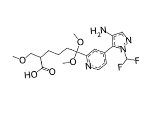 COCC(CCCC(OC)(OC)c1cc(-c2c(N)cnn2C(F)F)ccn1)C(=O)O